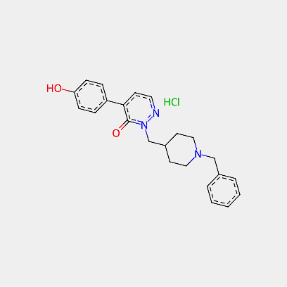 Cl.O=c1c(-c2ccc(O)cc2)ccnn1CC1CCN(Cc2ccccc2)CC1